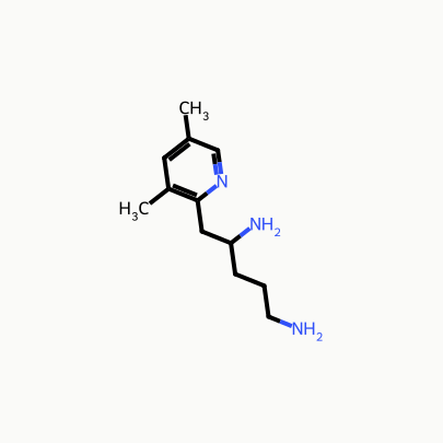 Cc1cnc(CC(N)CCCN)c(C)c1